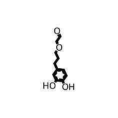 O=CCOCCCc1ccc(O)c(O)c1